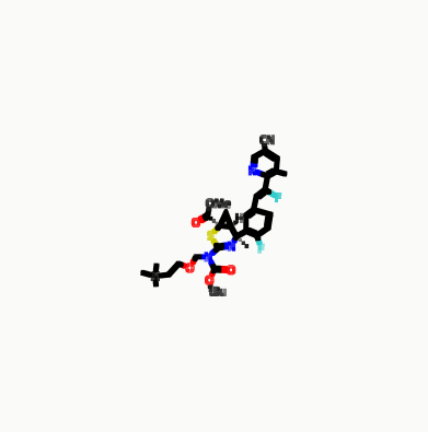 COC(=O)[C@]12C[C@H]1[C@@](C)(c1cc(/C=C(\F)c3ncc(C#N)cc3C)ccc1F)N=C(N(COCC[Si](C)(C)C)C(=O)OC(C)(C)C)S2